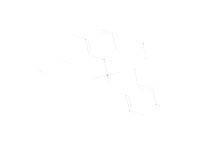 CCC(CC)(Pc1c(C)cccc1CNC(C)C)c1cc(C(C)(C)C)cc(C(C)(C)C)c1OCOC